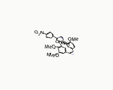 COc1ccc(/C=C\c2cc(OC)c(OC)c(OC)c2)cc1N/C=C\C(=O)c1ccc([N+](=O)[O-])cc1